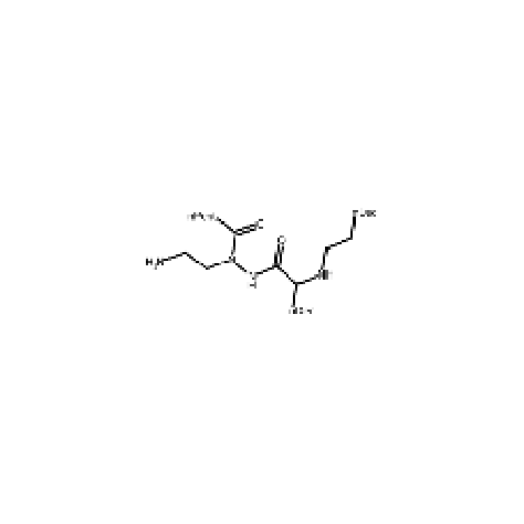 CCCCCCCCCCCCNC(CCCCCCCCCC)C(=O)NN(CCN)C(=O)CCCCC